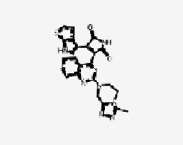 Cc1nnc2n1CCN(c1nc(C3=C(c4c[nH]c5sccc45)C(=O)NC3=O)c3ccccc3n1)C2